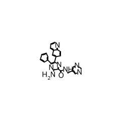 Nc1nc(-c2ccccc2)c(-c2ccc3ncccc3c2)nc1C(=O)NCc1cncnc1